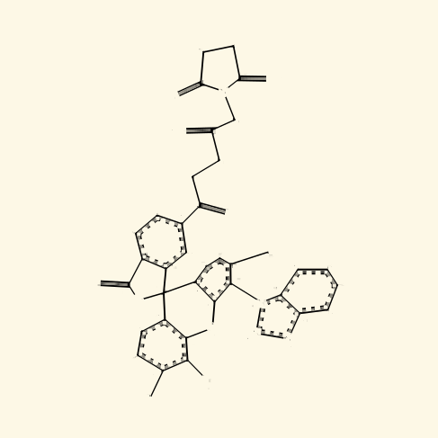 C=C(CCC(=O)CN1C(=C)CCC1=O)c1ccc2c(c1)C1(OC2=C)c2ccc(C)c(Br)c2Oc2c1ccc(C)c2-n1nnc2ccccc21